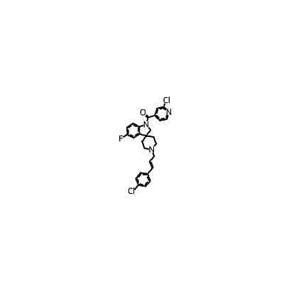 O=C(c1ccnc(Cl)c1)N1CC2(CCN(CC=Cc3ccc(Cl)cc3)CC2)c2cc(F)ccc21